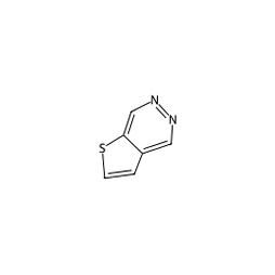 c1cc2cnncc2s1